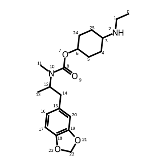 CCNC1CCC(OC(=O)N(C)C(C)Cc2ccc3c(c2)OCO3)CC1